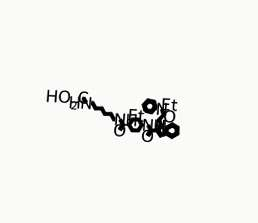 CCc1cccc(N(CC)C(=O)Cn2c(C(=O)N[C@H]3CC[C@H](C(=O)NCCCCCCNC(=O)O)CC3)cc3ccccc32)c1